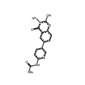 CCCCC(=O)Nc1ccc(-c2ccc3nc(O)n(CCC)c(=O)c3c2)cn1